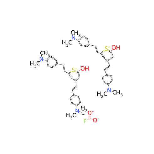 CN(C)c1ccc(C=Cc2cc(O)[s+]c(C=Cc3ccc(N(C)C)cc3)c2)cc1.CN(C)c1ccc(C=Cc2cc(O)[s+]c(C=Cc3ccc(N(C)C)cc3)c2)cc1.[O-]B([O-])F